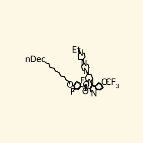 CCCCCCCCCCCCCCCCCCCCOc1cc(F)c(S(=O)(=O)c2cnc3ccc(OC(F)(F)F)cc3c2N2CCC(N3CCN(C4CCN(CC)CC4)CC3)CC2)cc1F